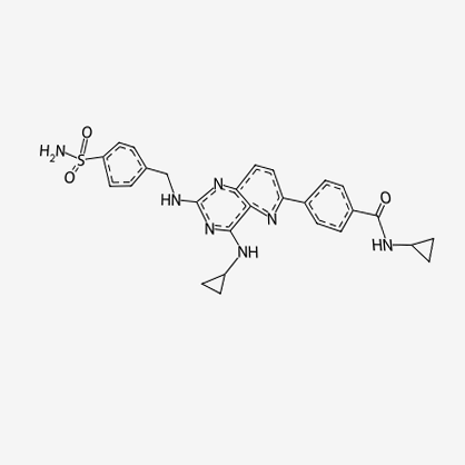 NS(=O)(=O)c1ccc(CNc2nc(NC3CC3)c3nc(-c4ccc(C(=O)NC5CC5)cc4)ccc3n2)cc1